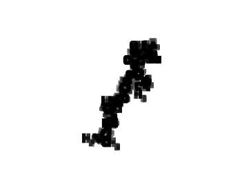 Cc1ncsc1-c1ccc(CNC(=O)[C@@H]2C[C@@H](O)CN2C(=O)[C@@H](NC(=O)C2(F)CC2)C(C)(C)C)c(OC2CC3(CCN(C(=O)CC(=O)Nc4cccc(Sc5cnc(N6CCC(C)(CN)CC6)cn5)c4Cl)CC3)C2)c1